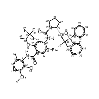 COc1ncc(C)c(NC(=O)c2cc(F)c(NC(=O)N3CCC[C@@H]3CO[Si](c3ccccc3)(c3ccccc3)C(C)(C)C)cc2O[C@@H](C)C(F)(F)F)c1Cl